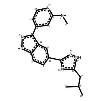 CNc1cc(-c2n[nH]c3ccc(-c4n[nH]c(CC(C)C)n4)cc23)ccn1